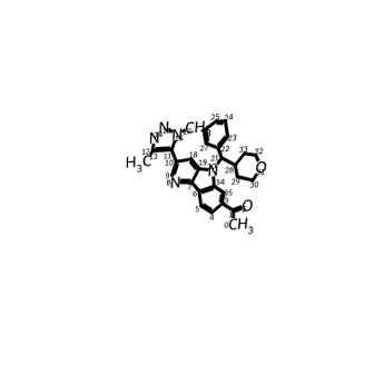 CC(=O)c1ccc2c3ncc(-c4c(C)nnn4C)cc3n(C(c3ccccc3)C3CCOCC3)c2c1